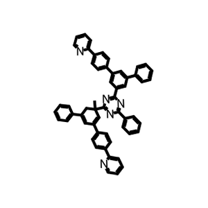 CC1(c2nc(-c3ccccc3)nc(-c3cc(-c4ccccc4)cc(-c4ccc(-c5ccccn5)cc4)c3)n2)C=C(c2ccc(-c3ccccn3)cc2)C=C(c2ccccc2)C1